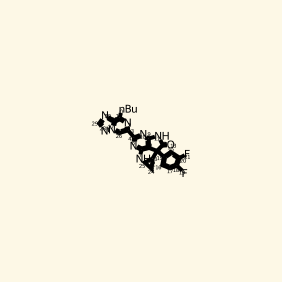 CCCCc1nc(-c2nc(N)c3c(n2)NC(=O)C3(c2ccc(F)c(F)c2)C2CC2)cn2ncnc12